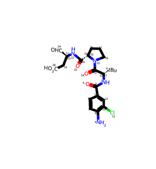 CC(C)(C)[C@H](NC(=O)c1ccc(N)c(Cl)c1)C(=O)N1CCC[C@H]1C(=O)N[C@H](C=O)CC(=O)O